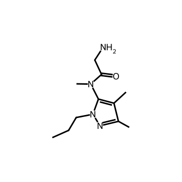 CCCn1nc(C)c(C)c1N(C)C(=O)CN